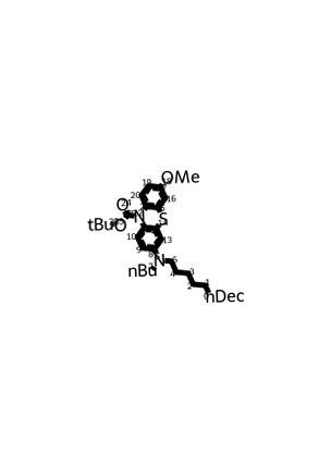 CCCCCCCCCCCCCCCN(CCCC)c1ccc2c(c1)Sc1cc(OC)ccc1N2C(=O)OC(C)(C)C